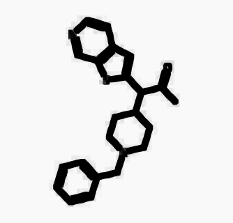 CC(=O)C(c1cc2ccncc2s1)C1CCN(Cc2ccccc2)CC1